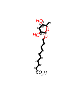 CC1O[C@@H](OCCCCCCCCCC(=O)O)C(O)C[C@H]1O